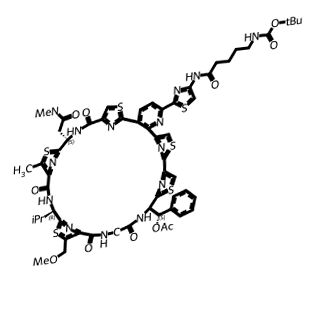 CNC(=O)C[C@@H]1NC(=O)c2csc(n2)-c2ccc(-c3nc(NC(=O)CCCCNC(=O)OC(C)(C)C)cs3)nc2-c2csc(n2)-c2csc(n2)C([C@@H](OC(C)=O)c2ccccc2)NC(=O)CNC(=O)c2nc(sc2COC)[C@@H](C(C)C)NC(=O)c2nc1sc2C